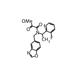 COC(=O)C(=O)N(Cc1ccc2ocnc2c1)C(C)c1ncccc1F